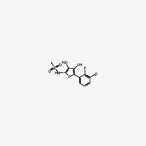 CS(=O)(=O)Nc1oc(-c2cccc(Cl)c2F)c(O)c1O